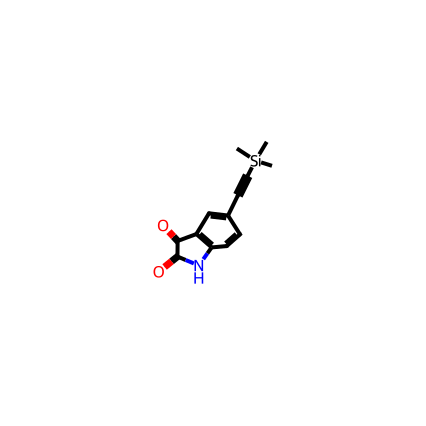 C[Si](C)(C)C#Cc1ccc2c(c1)C(=O)C(=O)N2